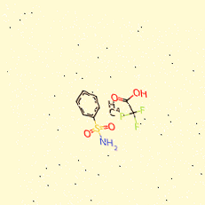 C.NS(=O)(=O)c1ccccc1.O=C(O)C(F)(F)F